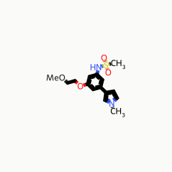 COCCOc1cc(NS(C)(=O)=O)cc(-c2ccn(C)c2)c1